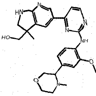 COc1cc(C2COCCN2C)ccc1Nc1nccc(-c2cnc3c(c2)C(C)(CO)CN3)n1